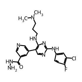 CN(C)CCCNc1nc(Nc2ccc(F)c(Cl)c2)ncc1-c1cncc(C(=O)NN)c1